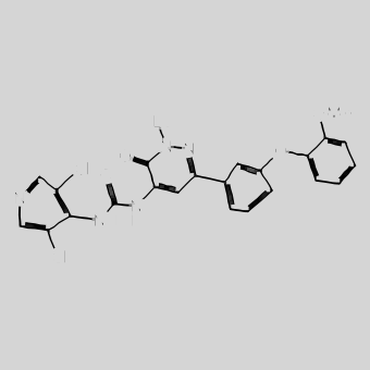 CCn1nc(-c2cccc(Oc3ccccc3OC)c2)cc(NC(=O)Nc2c(Cl)cncc2Cl)c1=O